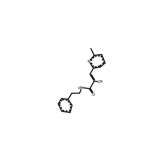 Cc1cccc(/C=C(\C#N)C(=O)NCCc2ccccc2)n1